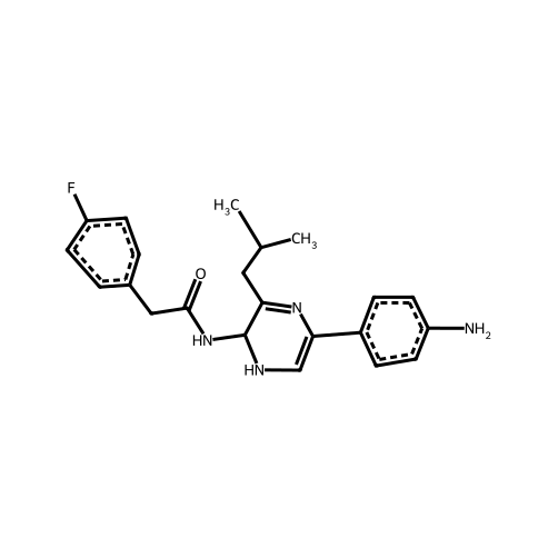 CC(C)CC1=NC(c2ccc(N)cc2)=CNC1NC(=O)Cc1ccc(F)cc1